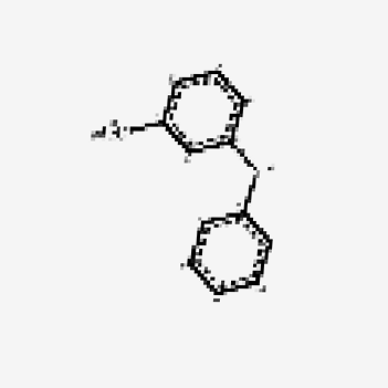 COc1[c]ccc(Sc2ccccc2)c1